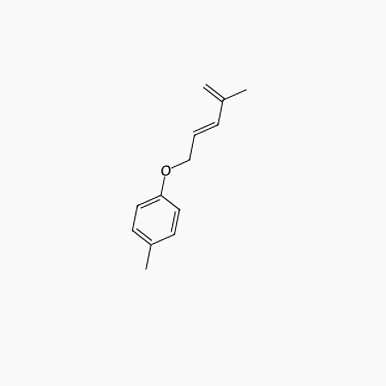 C=C(C)/C=C/COc1ccc(C)cc1